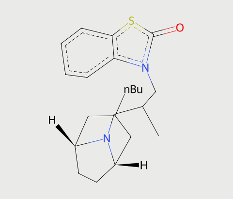 CCCCC1C[C@H]2CC[C@@H](C1)N2CC(C)Cn1c(=O)sc2ccccc21